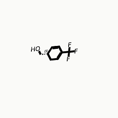 OC[C@@H]1C=CC(C(F)(F)F)=CC1